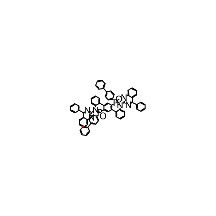 O=P1(c2ccc(-c3ccccc3)cc2)c2cc3c(cc2-c2ccccc2N1c1nc(-c2ccccc2)c2ccccc2n1)P(=O)(c1ccc(-c2ccccc2)cc1)N(c1nc(-c2ccccc2)c2ccccc2n1)c1ccccc1-3